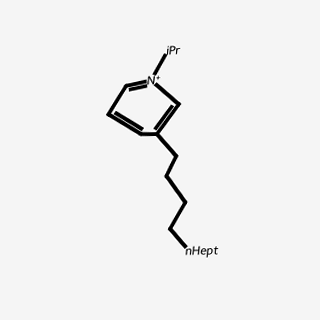 CCCCCCCCCCCc1ccc[n+](C(C)C)c1